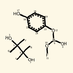 CC(C)(O)C(C)(C)O.OB(OF)Oc1ccc(O)cc1